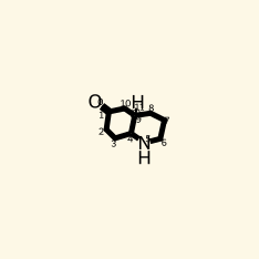 O=C1CCC2NCCC[C@@H]2C1